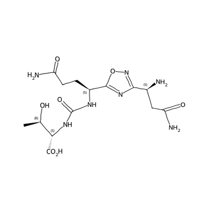 C[C@@H](O)[C@H](NC(=O)N[C@@H](CCC(N)=O)c1nc([C@@H](N)CC(N)=O)no1)C(=O)O